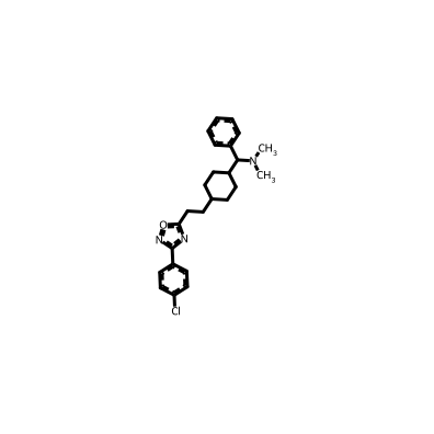 CN(C)C(c1ccccc1)C1CCC(CCc2nc(-c3ccc(Cl)cc3)no2)CC1